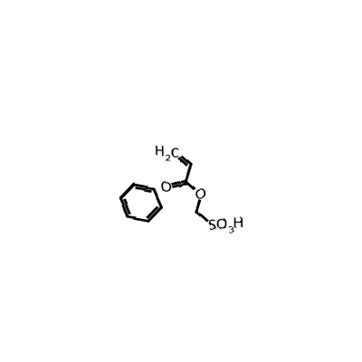 C=CC(=O)OCS(=O)(=O)O.c1ccccc1